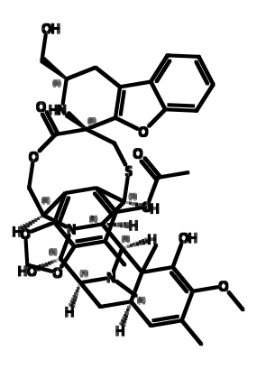 COC1=C(O)C2(C)[C@@H]3[C@@H]4[C@@H]5SC[C@]6(N[C@@H](CO)Cc7c6oc6ccccc76)C(=O)OC[C@@H](c6c7c(c(C)c(OC(C)=O)c65)OCO7)N4[C@@H](O)[C@H](C[C@@H]2C=C1C)N3C